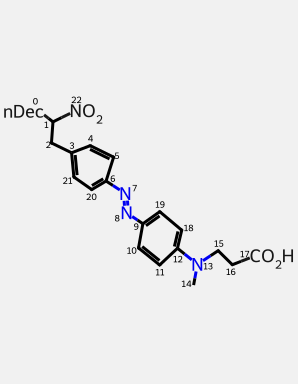 CCCCCCCCCCC(Cc1ccc(N=Nc2ccc(N(C)CCC(=O)O)cc2)cc1)[N+](=O)[O-]